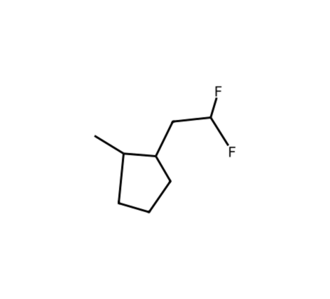 CC1CCCC1CC(F)F